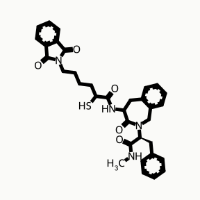 CNC(=O)[C@H](Cc1ccccc1)N1Cc2ccccc2CC(NC(=O)C(S)CCCCN2C(=O)c3ccccc3C2=O)C1=O